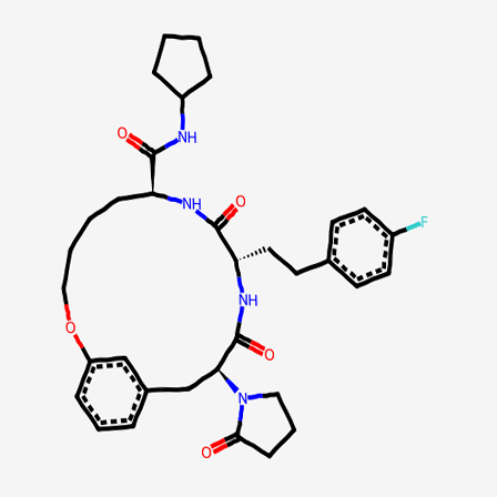 O=C(NC1CCCC1)[C@@H]1CCCCOc2cccc(c2)C[C@H](N2CCCC2=O)C(=O)N[C@@H](CCc2ccc(F)cc2)C(=O)N1